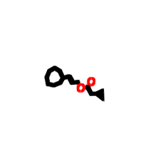 O=C(CC1CC1)OCC=CC1CCCCCCC1